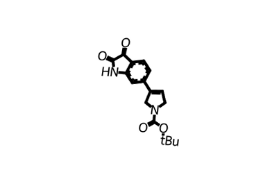 CC(C)(C)OC(=O)N1CC=C(c2ccc3c(c2)NC(=O)C3=O)C1